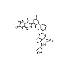 COc1nc(-c2cccc(-c3cc(F)cc(NC(=O)c4nn(C)c(=O)n(C)c4=O)c3C)c2C)cc2c1C(NC1CCOCC1)CC2